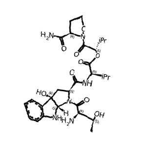 CC(C)[C@H](OC(=O)[C@H](NC(=O)[C@@H]1C[C@@]2(O)c3ccccc3N[C@H]2N1C(=O)[C@H](N)[C@H](C)O)C(C)C)C(=O)N1CCC[C@@H]1C(N)=O